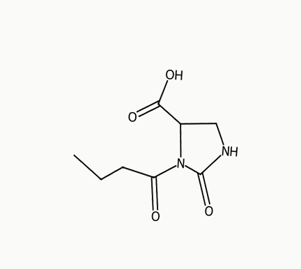 CCCC(=O)N1C(=O)NCC1C(=O)O